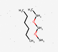 CCCCCC.C[SiH2]O[SiH2]O[SiH3]